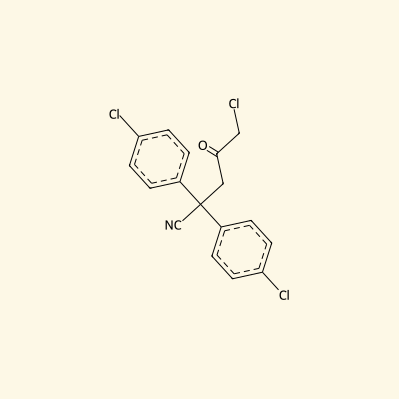 N#CC(CC(=O)CCl)(c1ccc(Cl)cc1)c1ccc(Cl)cc1